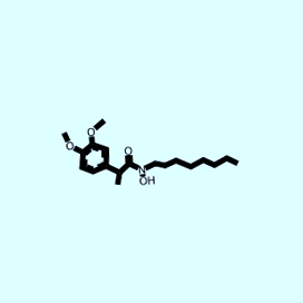 CCCCCCCCN(O)C(=O)C(C)c1ccc(OC)c(OC)c1